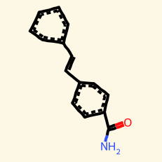 NC(=O)c1ccc(C=Cc2ccccc2)cc1